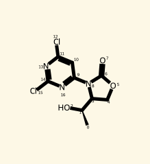 C[C@@H](O)C1COC(=O)N1c1cc(Cl)nc(Cl)n1